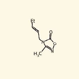 [CH2]CC=CCn1c(C)noc1=O